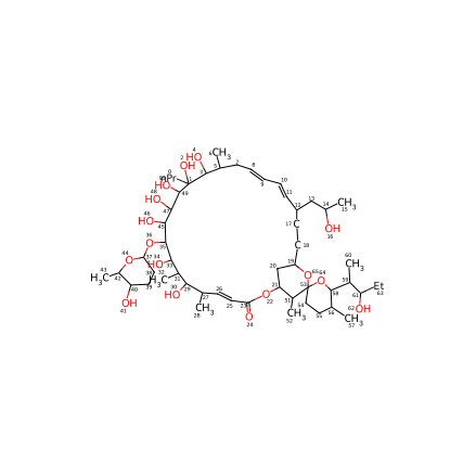 CCCC1(O)C(O)C(C)C/C=C/C=C/C(CC(C)O)CCC2CC(OC(=O)/C=C/C(C)C(O)C(C)C(O)C(OC3CCC(O)C(C)O3)C(O)C(O)C1O)C(C)C1(CCC(C)C(C(C)C(O)CC)O1)O2